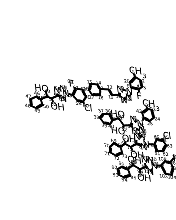 Cc1ccc(F)c(-n2nnc(C=Cc3ccccc3)n2)c1.Cc1cccc(-n2nnc(C(O)C(O)c3ccccc3)n2)c1.OC(c1ccccc1)C(O)c1nnn(-c2cc(Cl)ccc2F)n1.OC(c1ccccc1)C(O)c1nnn(-c2cccc(Cl)c2)n1.OC(c1ccccc1)C(O)c1nnn(-c2cccc(I)c2)n1